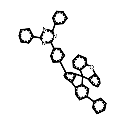 c1ccc(-c2ccc3c(c2)C2(c4ccccc4Oc4ccccc42)c2cc(-c4ccc(-c5nc(-c6ccccc6)nc(-c6ccccc6)n5)cc4)ccc2-3)cc1